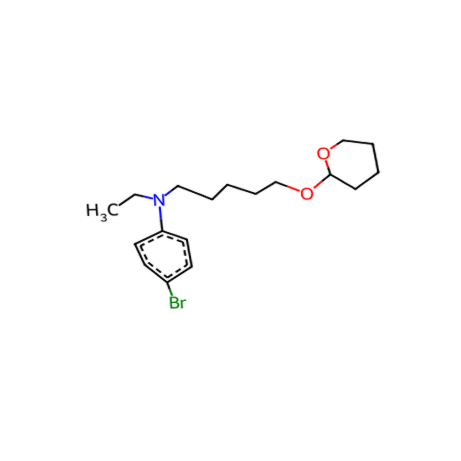 CCN(CCCCCOC1CCCCO1)c1ccc(Br)cc1